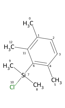 Cc1ccc(C)c([Si](C)(C)Cl)c1C